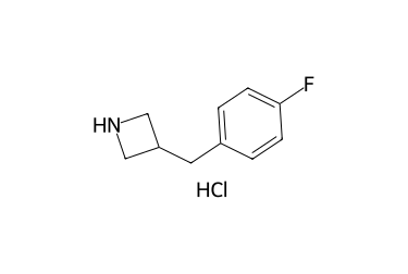 Cl.Fc1ccc(CC2CNC2)cc1